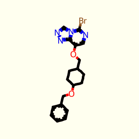 Brc1ncc(OCC2CCC(OCc3ccccc3)CC2)c2nncn12